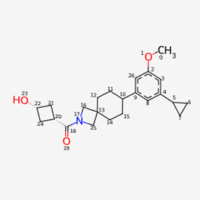 COc1cc(C2CC2)cc(C2CCC3(CC2)CN(C(=O)[C@H]2C[C@@H](O)C2)C3)c1